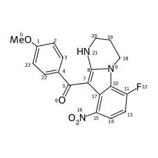 COc1ccc(C(=O)c2c3n(c4c(F)ccc([N+](=O)[O-])c24)CCCN3)cc1